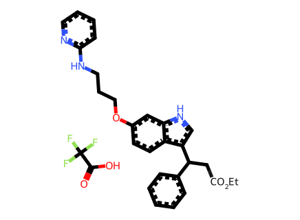 CCOC(=O)CC(c1ccccc1)c1c[nH]c2cc(OCCCNc3ccccn3)ccc12.O=C(O)C(F)(F)F